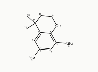 CC(C)(C)c1cc(S)cc2c1OCCC2(C)C